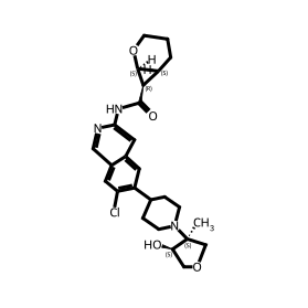 C[C@]1(N2CCC(c3cc4cc(NC(=O)[C@@H]5[C@@H]6CCCO[C@@H]65)ncc4cc3Cl)CC2)COC[C@H]1O